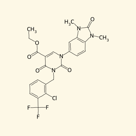 CCOC(=O)c1cn(-c2ccc3c(c2)n(C)c(=O)n3C)c(=O)n(Cc2cccc(C(F)(F)F)c2Cl)c1=O